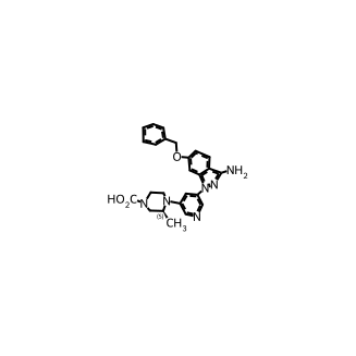 C[C@H]1CN(C(=O)O)CCN1c1cncc(-n2nc(N)c3ccc(OCc4ccccc4)cc32)c1